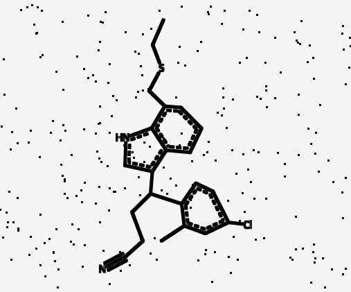 CCSCc1cccc2c(C(CCC#N)c3ccc(Cl)cc3C)c[nH]c12